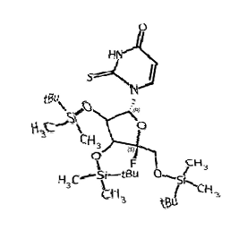 CC(C)(C)[Si](C)(C)OC[C@@]1(F)O[C@@H](n2ccc(=O)[nH]c2=S)C(O[Si](C)(C)C(C)(C)C)C1O[Si](C)(C)C(C)(C)C